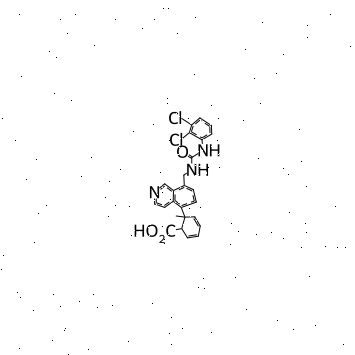 CC1(c2ccc(CNC(=O)Nc3cccc(Cl)c3Cl)c3cnccc23)C=CC=CC1C(=O)O